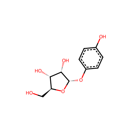 OC[C@@H]1O[C@@H](Oc2ccc(O)cc2)[C@@H](O)[C@H]1O